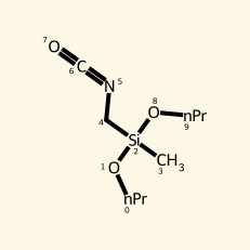 CCCO[Si](C)(CN=C=O)OCCC